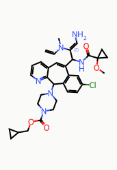 C=CN(C)/C(=C\N)C(NC(=O)C1(OC)CC1)C1=Cc2cccnc2C(N2CCN(C(=O)OCC3CC3)CC2)c2ccc(Cl)cc21